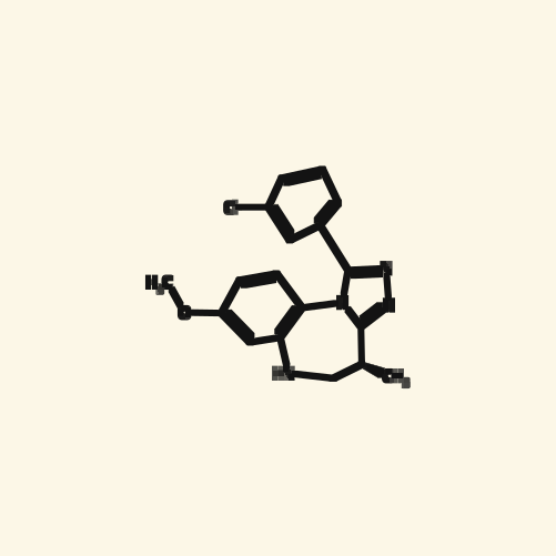 COc1ccc2c(c1)NC[C@H](C)c1nnc(-c3cccc(Cl)c3)n1-2